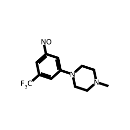 CN1CCN(c2cc(N=O)cc(C(F)(F)F)c2)CC1